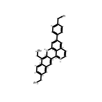 CC(C)Cc1ccc(-c2cc3c4c(nccc4c2)-c2cc4cc(CC(C)C)ccc4c(CC(C)(C)C)c2O3)cc1